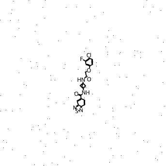 O=C(COc1ccc(Cl)c(F)c1)NC12CC(NC(=O)c3ccc4nsnc4c3)(C1)C2